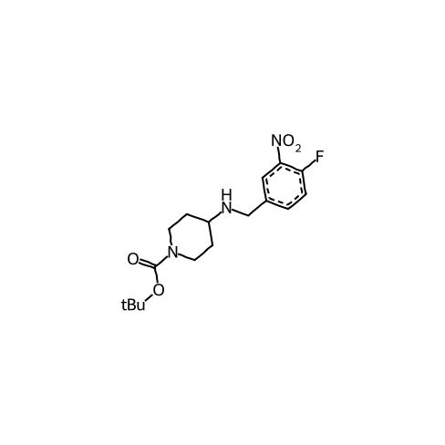 CC(C)(C)OC(=O)N1CCC(NCc2ccc(F)c([N+](=O)[O-])c2)CC1